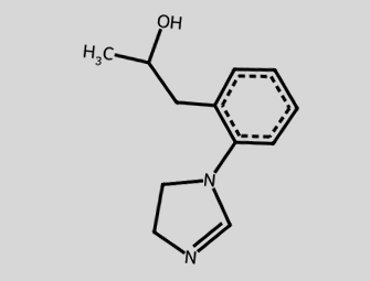 CC(O)Cc1ccccc1N1C=NCC1